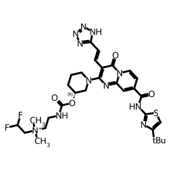 CC(C)(C)c1csc(NC(=O)c2ccn3c(=O)c(C=Cc4nnn[nH]4)c(N4CCC[C@@H](OC(=O)NCC[N+](C)(C)CC(F)F)C4)nc3c2)n1